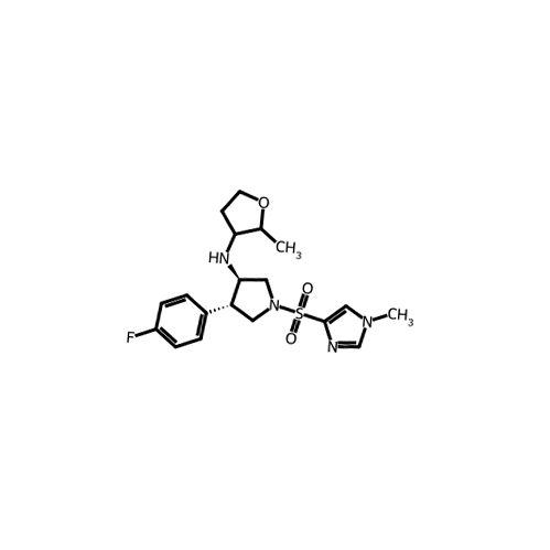 CC1OCCC1N[C@H]1CN(S(=O)(=O)c2cn(C)cn2)C[C@@H]1c1ccc(F)cc1